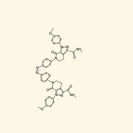 COc1ccc(-n2nc(C(N)=O)c3c2C(=O)N(c2ccc(/N=N\c4ccc(N5CCc6c(C(N)=O)nn(-c7ccc(OC)cc7)c6C5=O)cc4)cc2)CC3)cc1